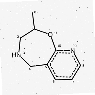 CC1CNCc2cccnc2O1